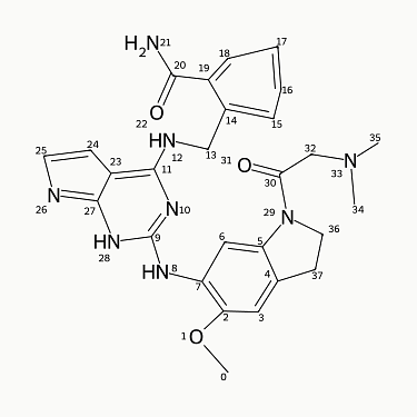 COc1cc2c(cc1Nc1nc(NCc3ccccc3C(N)=O)c3ccnc-3[nH]1)N(C(=O)CN(C)C)CC2